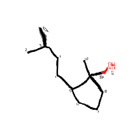 CC(C)CCC1CCCC1(C)O